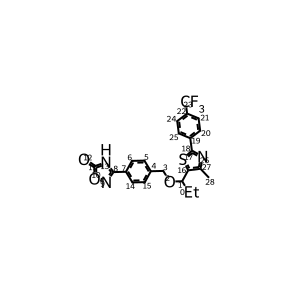 CCC(OCc1ccc(-c2noc(=O)[nH]2)cc1)c1sc(-c2ccc(C(F)(F)F)cc2)nc1C